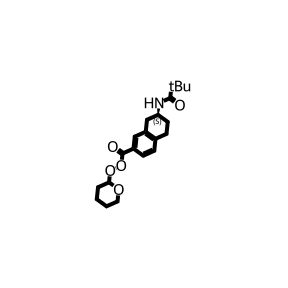 CC(C)(C)C(=O)N[C@H]1CCc2ccc(C(=O)OOC3CCCCO3)cc2C1